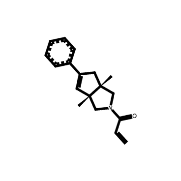 C=CC(=O)N1C[C@@]2(C)CC(c3ccccc3)=C[C@@]2(C)C1